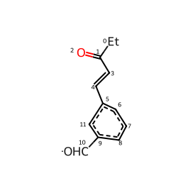 CCC(=O)/C=C/c1cccc([C]=O)c1